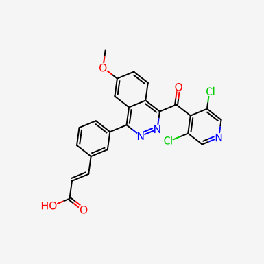 COc1ccc2c(C(=O)c3c(Cl)cncc3Cl)nnc(-c3cccc(C=CC(=O)O)c3)c2c1